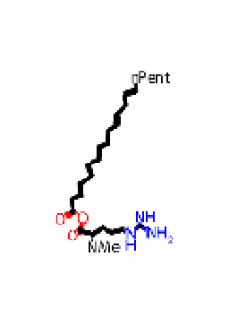 CCCCCC=CCC=CCC=CCC=CCCCC(=O)OC(=O)[C@H](CCCNC(=N)N)NC